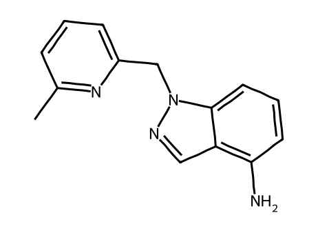 Cc1cccc(Cn2ncc3c(N)cccc32)n1